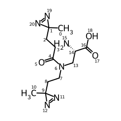 CC1(CCC(=O)N(CCC2(C)N=N2)C[C@H](N)C(=O)O)N=N1